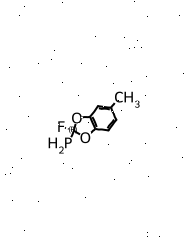 Cc1ccc2c(c1)O[C@](F)(P)O2